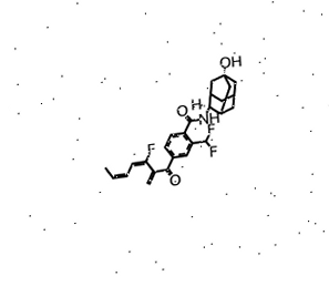 C=C(C(=O)c1ccc(C(=O)N[C@H]2C3CC4CC2C[C@](O)(C4)C3)c(C(F)F)c1)/C(F)=C\C=C/C